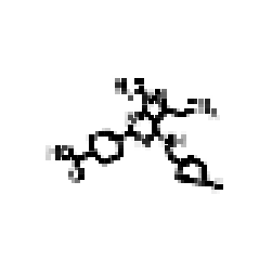 CCc1nn(C)c2nc(C3=CCC(C(=O)O)CC3)nc(NCc3ccc(F)cc3)c12